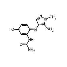 Cn1ncc(N=C2C=C[C]([O])C=C2NC(N)=O)c1N